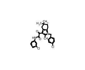 Cc1c(C(=O)C(=O)Nc2cccc(Cl)c2)c2c(n1Cc1ccc(Cl)cc1)CCC(C)(C)C2